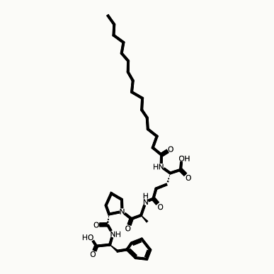 CCCCCCCCCCCCCCCC(=O)N[C@@H](CCC(=O)N[C@@H](C)C(=O)N1CCC[C@H]1C(=O)N[C@@H](Cc1ccccc1)C(=O)O)C(=O)O